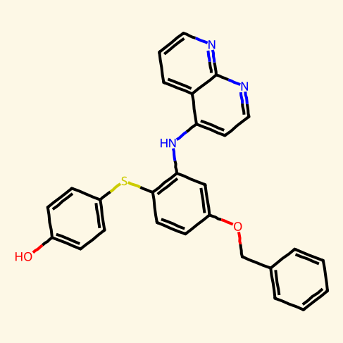 Oc1ccc(Sc2ccc(OCc3ccccc3)cc2Nc2ccnc3ncccc23)cc1